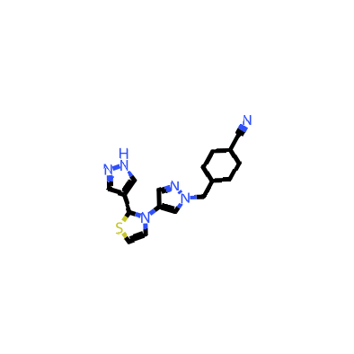 N#CC1CCC(Cn2cc(N3C=CSC3c3cn[nH]c3)cn2)CC1